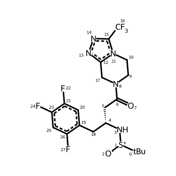 CC(C)(C)[S+]([O-])N[C@@H](CC(=O)N1CCn2c(nnc2C(F)(F)F)C1)Cc1cc(F)c(F)cc1F